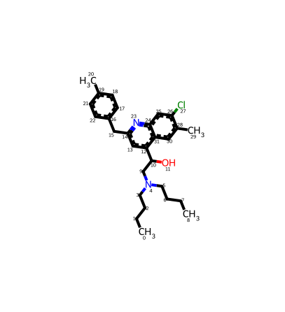 CCCCN(CCCC)CC(O)c1cc(Cc2ccc(C)cc2)nc2cc(Cl)c(C)cc12